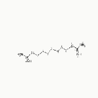 N=C(N)SCCCCCCCSC(=N)N